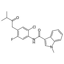 CC(C)C(=O)Cc1cc(Cl)c(NC(=O)c2cn(C)c3ccccc23)cc1F